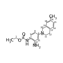 CCOC(=O)Nc1ccc(N2CCc3ccc(C)cc3C2)cc1N